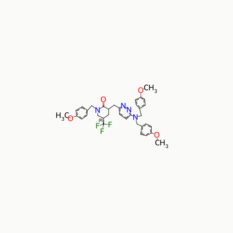 COc1ccc(CN2C[C@H](C(F)(F)F)CC(Cc3ccc(N(Cc4ccc(OC)cc4)Cc4ccc(OC)cc4)nn3)C2=O)cc1